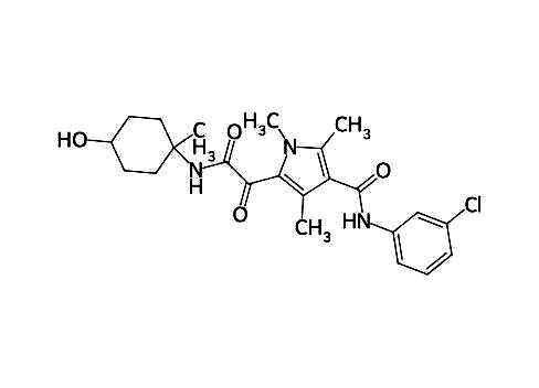 Cc1c(C(=O)Nc2cccc(Cl)c2)c(C)n(C)c1C(=O)C(=O)NC1(C)CCC(O)CC1